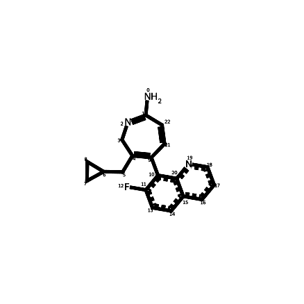 NC1=NCC(CC2CC2)=C(c2c(F)ccc3cccnc23)C=C1